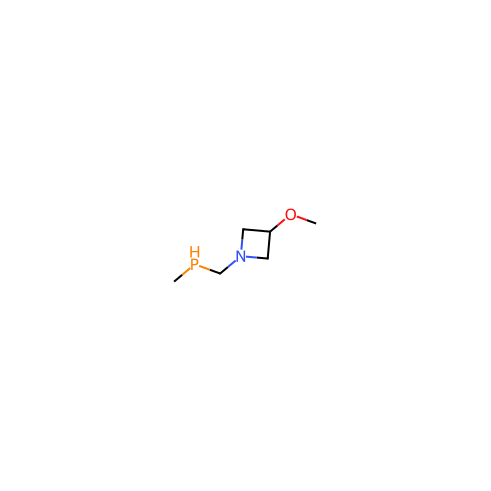 COC1CN(CPC)C1